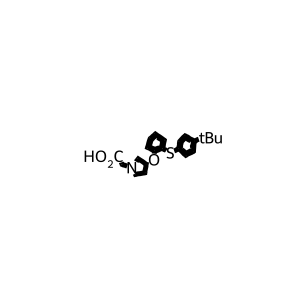 CC(C)(C)c1ccc(Sc2ccccc2O[C@@H]2CCN(CC(=O)O)C2)cc1